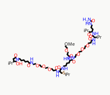 COCCOCCC(=O)NC(CCCCNC(=O)C(CSC(C)C)NC(=O)CCOCCOCCOCCNC(=O)CCCCCN1C(=O)CC(C(C)C)C1O)C(=O)NCCOCCOCCOCCC(=O)NC(C(=O)NC(CCCNC(N)=O)C(=O)C(C)C)C(C)C